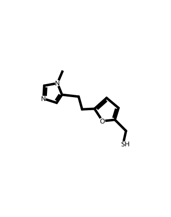 Cn1cncc1CCc1ccc(CS)o1